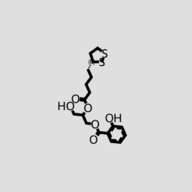 O=C(CCCC[C@@H]1CCSS1)OC(CO)COC(=O)c1ccccc1O